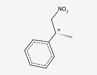 C[C@@H](C[N+](=O)[O-])c1ccccc1